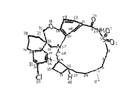 C[C@H]1CCCS(=O)(=O)NC(=O)c2ccc3c(c2)N(C[C@@H]2CC[C@H]2CC1)C[C@@]1(CCCc2cc(Cl)ccc21)CO3